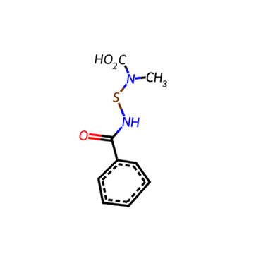 CN(SNC(=O)c1ccccc1)C(=O)O